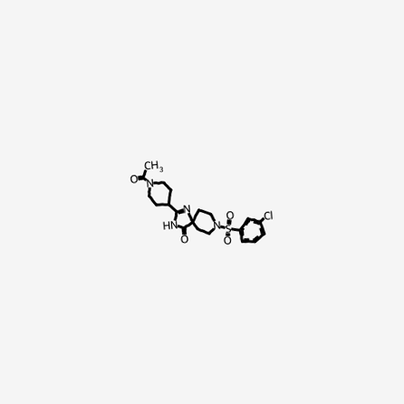 CC(=O)N1CCC(C2=NC3(CCN(S(=O)(=O)c4cccc(Cl)c4)CC3)C(=O)N2)CC1